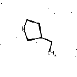 CCC1CC[N]C1